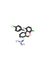 CCCN(CC)C[C@@H]1CCC[C@@]2(Cc3ccc(Cl)cc3)c3c(F)ccc(F)c3OCC12